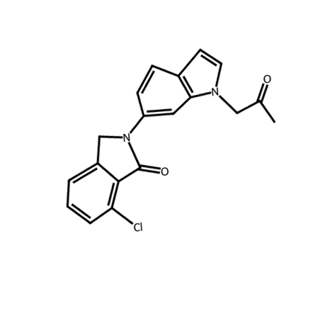 CC(=O)Cn1ccc2ccc(N3Cc4cccc(Cl)c4C3=O)cc21